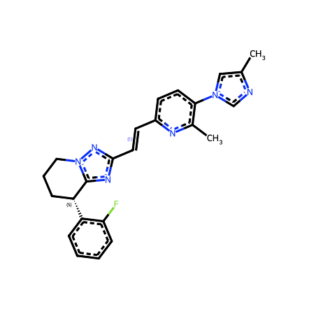 Cc1cn(-c2ccc(/C=C/c3nc4n(n3)CCC[C@H]4c3ccccc3F)nc2C)cn1